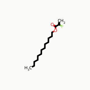 C=C(F)C(=O)OCCCCCCCCCCCCC